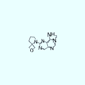 Nc1ncnc2cnc(N3CCCC34COC4)nc12